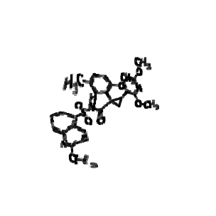 COc1ccc([C@H]2C[C@@]2(C(=O)NS(=O)(=O)c2cccc3nc(C)ccc23)c2cc(C)ccc2OC)c(OC)n1